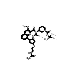 COc1cc2cccc(C3CCC(SCCNC(C)=O)C3)c2nc1C(=O)N(C(C)C)C1CCCN(C(=O)OC(C)(C)C)C1